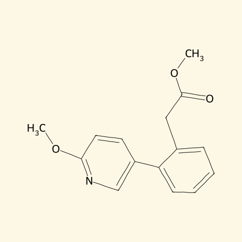 COC(=O)Cc1ccccc1-c1ccc(OC)nc1